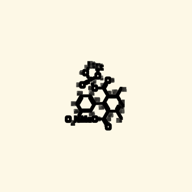 CCOP(=O)(OCC)OC(=O)c1c(C)nc(C)c(C(=O)OC)c1-c1cccc([N+](=O)[O-])c1